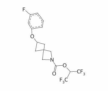 O=C(OC(C(F)(F)F)C(F)(F)F)N1CC2(CC(Oc3cccc(F)c3)C2)C1